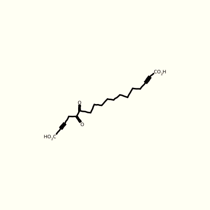 O=C(O)C#CCCCCCCCCCC(=O)C(=O)CC#CC(=O)O